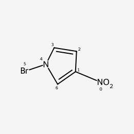 O=[N+]([O-])c1ccn(Br)c1